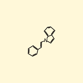 C(=C\n1ccc2ccccc21)/c1ccccc1